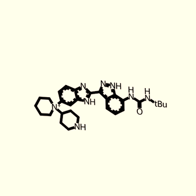 CC(C)(C)NC(=O)Nc1cccc2c(-c3nc4ccc([N+]5(C6CCNCC6)CCCCC5)cc4[nH]3)n[nH]c12